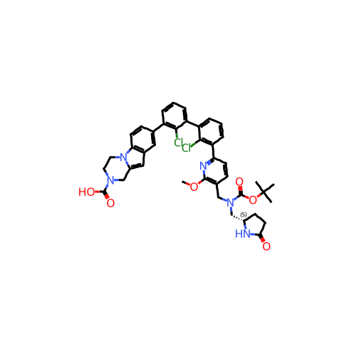 COc1nc(-c2cccc(-c3cccc(-c4ccc5c(c4)cc4n5CCN(C(=O)O)C4)c3Cl)c2Cl)ccc1CN(C[C@@H]1CCC(=O)N1)C(=O)OC(C)(C)C